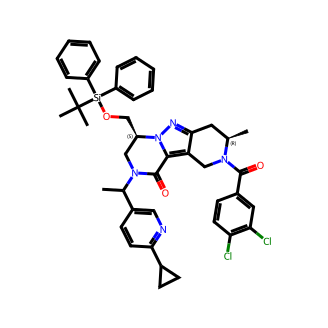 CC(c1ccc(C2CC2)nc1)N1C[C@@H](CO[Si](c2ccccc2)(c2ccccc2)C(C)(C)C)n2nc3c(c2C1=O)CN(C(=O)c1ccc(Cl)c(Cl)c1)[C@H](C)C3